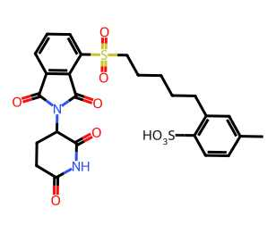 Cc1ccc(S(=O)(=O)O)c(CCCCCS(=O)(=O)c2cccc3c2C(=O)N(C2CCC(=O)NC2=O)C3=O)c1